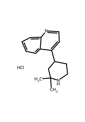 CC1(C)CC(c2ccnc3ccccc23)CCN1.Cl